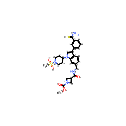 CC(C)(C)OC(=O)N1CC(C(=O)NCc2ccc3c(-c4cccc(C(N)=S)c4)cn(C4CCN(S(=O)(=O)C(F)(F)F)CC4)c3c2)C1